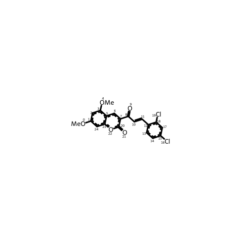 COc1cc(OC)c2cc(C(=O)C=Cc3ccc(Cl)cc3Cl)c(=O)oc2c1